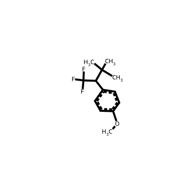 COc1ccc(C(C(C)(C)C)C(F)(F)F)cc1